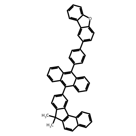 CC1(C)c2ccc(-c3c4ccccc4c(-c4ccc(-c5ccc6oc7ccccc7c6c5)cc4)c4ccccc34)cc2-c2c1ccc1ccccc21